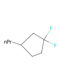 [CH2]CCC1CCC(F)(F)C1